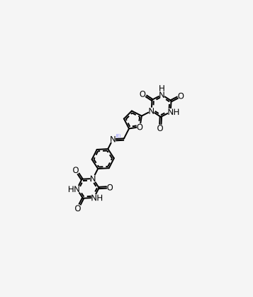 O=c1[nH]c(=O)n(-c2ccc(/N=C/c3ccc(-n4c(=O)[nH]c(=O)[nH]c4=O)o3)cc2)c(=O)[nH]1